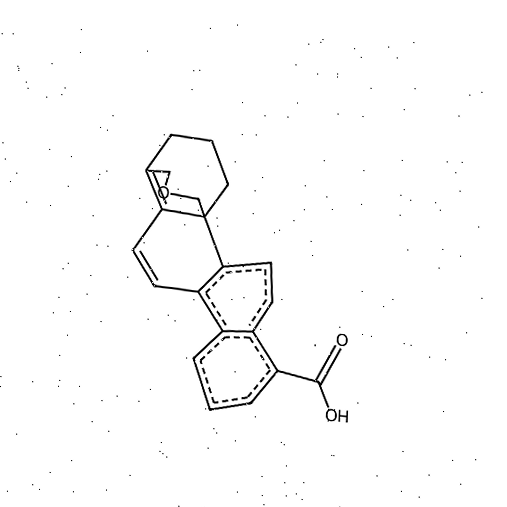 O=C(O)c1cccc2c3c(ccc12)C12CCCC(=C1C=C3)COC2